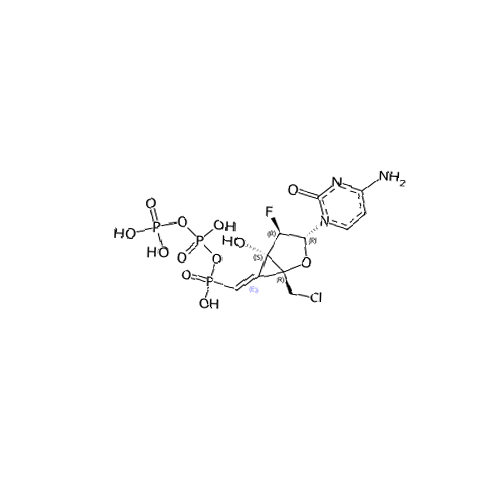 Nc1ccn([C@@H]2O[C@]3(CCl)/C(=C/P(=O)(O)OP(=O)(O)OP(=O)(O)O)[C@@]3(O)[C@H]2F)c(=O)n1